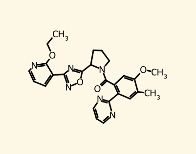 CCOc1ncccc1-c1noc(C2CCCN2C(=O)c2cc(OC)c(C)cc2-c2ncccn2)n1